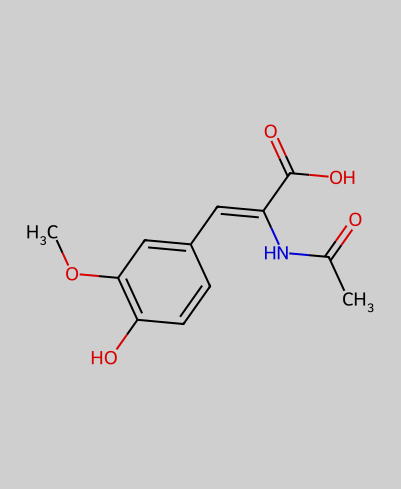 COc1cc(C=C(NC(C)=O)C(=O)O)ccc1O